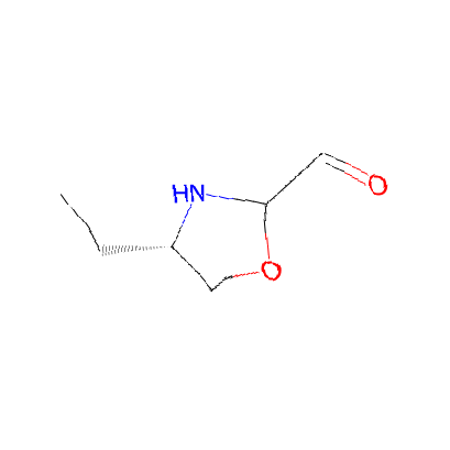 CC[C@H]1COC(C=O)N1